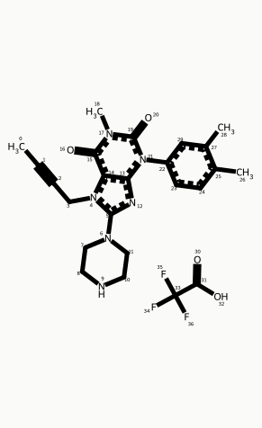 CC#CCn1c(N2CCNCC2)nc2c1c(=O)n(C)c(=O)n2-c1ccc(C)c(C)c1.O=C(O)C(F)(F)F